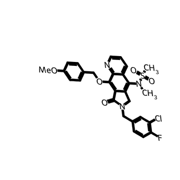 COc1ccc(COc2c3c(c(N(C)S(C)(=O)=O)c4cccnc24)CN(Cc2ccc(F)c(Cl)c2)C3=O)cc1